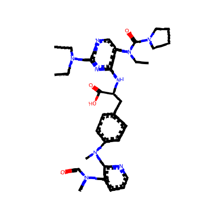 CCN(CC)c1ncc(N(CC)C(=O)N2CCCC2)c(NC(Cc2ccc(N(C)c3ncccc3N(C)C=O)cc2)C(=O)O)n1